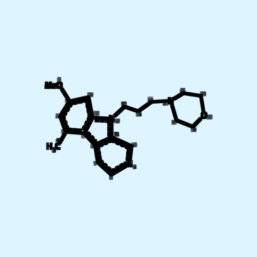 COc1cc(C)c2c3ccncc3n(CCCN3CCOCC3)c2c1